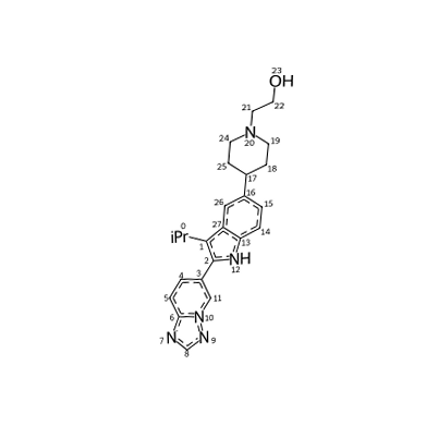 CC(C)c1c(-c2ccc3ncnn3c2)[nH]c2ccc(C3CCN(CCO)CC3)cc12